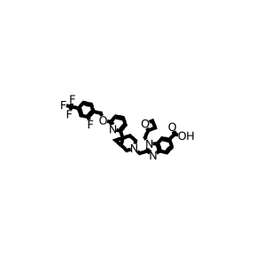 O=C(O)c1ccc2nc(CN3CCC4(c5cccc(OCc6ccc(C(F)(F)F)cc6F)n5)CC4C3)n(CC3CCO3)c2c1